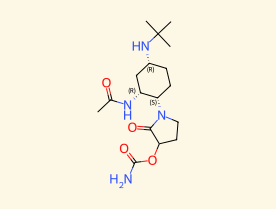 CC(=O)N[C@@H]1C[C@H](NC(C)(C)C)CC[C@@H]1N1CCC(OC(N)=O)C1=O